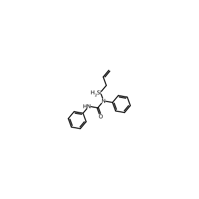 C=CC[SiH2]N(C(=O)Nc1ccccc1)c1ccccc1